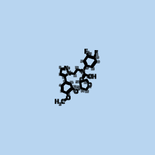 COc1ccc(-c2ccnn2CCN(C(=O)O)c2ccc(F)c(F)c2)cc1O[C@@H]1CCOC1